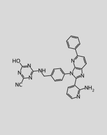 N#Cc1nc(O)nc(NCc2ccc(-n3c(-c4cccnc4N)nc4ccc(-c5ccccc5)nc43)cc2)n1